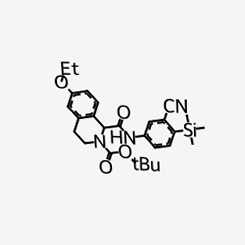 CCOc1ccc2c(c1)CCN(C(=O)OC(C)(C)C)C2C(=O)Nc1ccc([Si](C)(C)C)c(C#N)c1